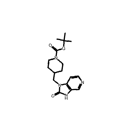 CC(C)(C)OC(=O)N1CCC(Cn2c(=O)[nH]c3cnccc32)CC1